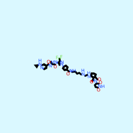 O=C1CCC(N2C(=O)c3cccc(NCCNCCCCCNC(=O)c4ccc(-n5cc(NC(=O)c6coc(-c7ccnc(NC8CC8)c7)n6)c(C(F)F)n5)cc4)c3C2=O)C(=O)N1